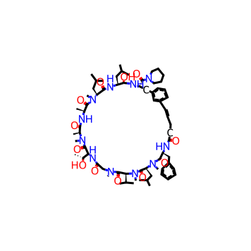 CC(C)C[C@@H]1NC(=O)[C@H](CC(C)C)N(C)C(=O)[C@H](C)NC(=O)[C@H](C)N(C)C(=O)[C@H]([C@@H](C)O)NC(=O)CN(C)C(=O)[C@H](C(C)C)N(C)C(=O)[C@H](CC(C)C)N(C)C(=O)[C@H](Cc2ccccc2)NC(=O)CC/C=C/c2cccc(c2)C[C@@H](C(=O)N2CCCCC2)NC1O